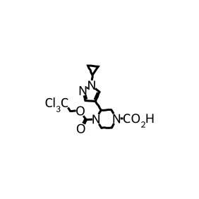 O=C(O)N1CCN(C(=O)OCC(Cl)(Cl)Cl)C(c2cnn(C3CC3)c2)C1